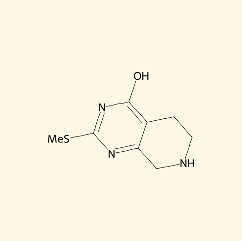 CSc1nc(O)c2c(n1)CNCC2